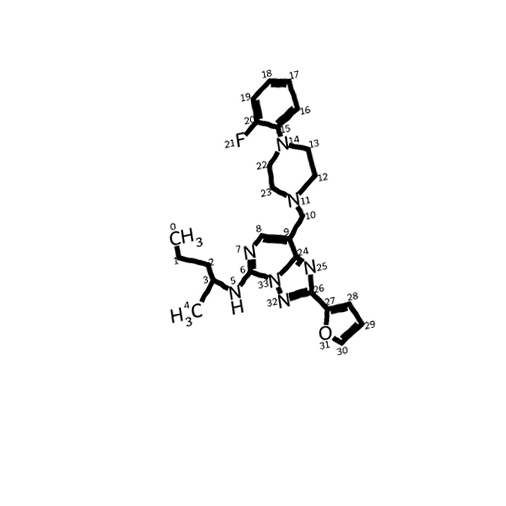 CCCC(C)Nc1ncc(CN2CCN(c3ccccc3F)CC2)c2nc(-c3ccco3)nn12